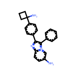 Nc1ccc2nc(-c3ccc(C4(N)CCC4)cc3)c(-c3ccccc3)n2c1